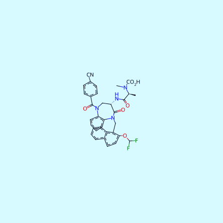 C[C@@H](C(=O)N[C@H]1CN(C(=O)c2ccc(C#N)cc2)c2ccccc2N(Cc2c(OC(F)F)ccc3ccccc23)C1=O)N(C)C(=O)O